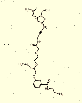 CSSC(COc1cccc(C(=O)NCCN)c1)OCCOCC(=O)NCC#CB[C@H]1C[C@@H](O[C@@H](N)F)C(CO)O1